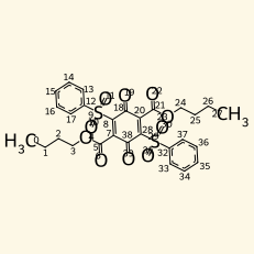 CCCCOC(=O)C1=C(S(=O)(=O)c2ccccc2)C(=O)C(C(=O)OCCCC)=C(S(=O)(=O)c2ccccc2)C1=O